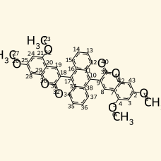 COc1cc(OC)c2cc(-c3c4ccccc4c(-c4cc5c(OC)cc(OC)cc5oc4=O)c4ccccc34)c(=O)oc2c1